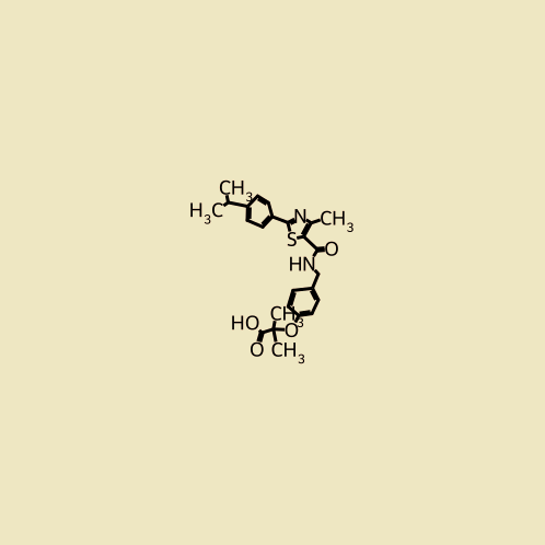 Cc1nc(-c2ccc(C(C)C)cc2)sc1C(=O)NCc1ccc(OC(C)(C)C(=O)O)cc1